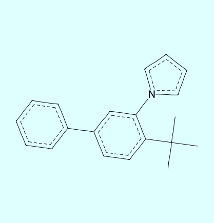 CC(C)(C)c1ccc(-c2ccccc2)cc1-n1cccc1